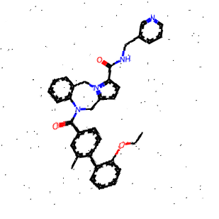 CCOc1ccccc1-c1ccc(C(=O)N2Cc3ccc(C(=O)NCc4cccnc4)n3Cc3ccccc32)cc1C